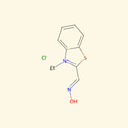 CC[n+]1c(C=NO)sc2ccccc21.[Cl-]